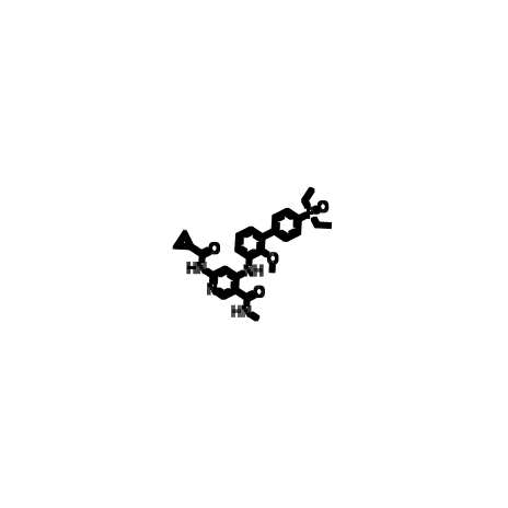 CCP(=O)(CC)c1ccc(-c2cccc(Nc3cc(NC(=O)C4CC4)ncc3C(=O)NC)c2OC)cc1